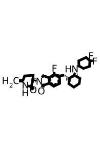 C=C1CC[C@@H](N2Cc3c(ccc(C[C@H]4CCCC[C@@H]4NC4CCC(F)(F)CC4)c3F)C2=O)C(=O)N1